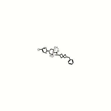 C[C@@H]1CN(c2ncc(Cl)cn2)C[C@H](C)N1C(=O)NC1CC2(C1)CN(Cc1ccccc1)C2